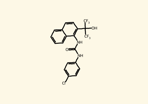 O=C(Nc1ccc(Cl)cc1)Nc1c(C(O)(C(F)(F)F)C(F)(F)F)ccc2ccccc12